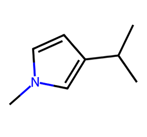 CC(C)c1ccn(C)c1